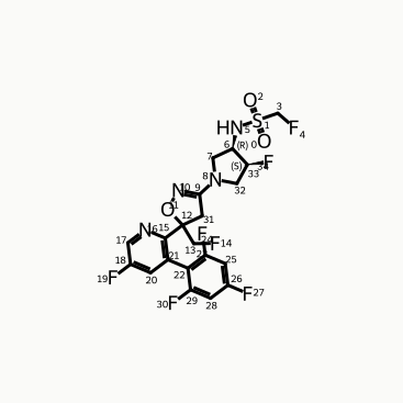 O=S(=O)(CF)N[C@@H]1CN(C2=NOC(CF)(c3ncc(F)cc3-c3c(F)cc(F)cc3F)C2)C[C@@H]1F